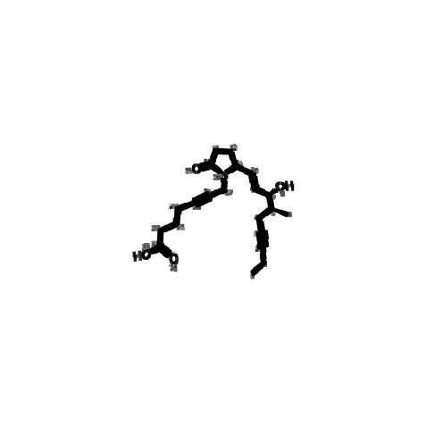 CCC#CC[C@H](C)[C@H](O)C=CC1CCC(=O)N1CC#CCCCC(=O)O